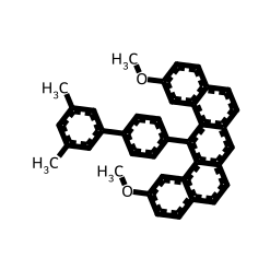 COc1ccc2ccc3cc4ccc5ccc(OC)cc5c4c(-c4ccc(-c5cc(C)cc(C)c5)cc4)c3c2c1